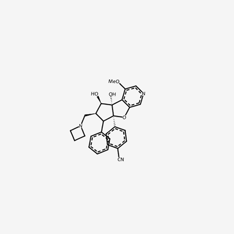 COc1cncc2c1[C@]1(O)[C@H](O)[C@H](CN3CCC3)C(c3ccccc3)[C@]1(c1ccc(C#N)cc1)O2